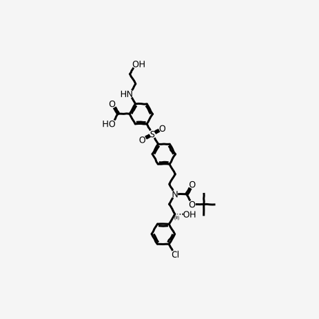 CC(C)(C)OC(=O)N(CCc1ccc(S(=O)(=O)c2ccc(NCCO)c(C(=O)O)c2)cc1)C[C@H](O)c1cccc(Cl)c1